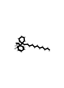 C=CC1(C2(CCCCCCCCCCC)CCCCC2)C=CC=CC1(F)F